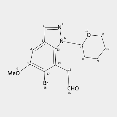 COc1cc2cnn(C3CCCCO3)c2c(CC=O)c1Br